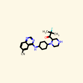 CC(C)(F)C(=O)C1CNCCN1C1CCC(Nc2ncnc3ccc(C#N)cc23)CC1